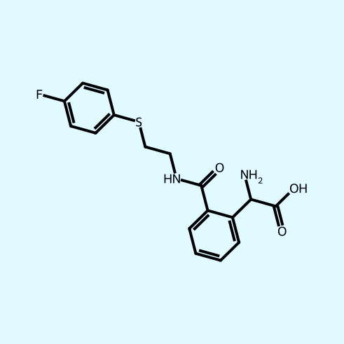 NC(C(=O)O)c1ccccc1C(=O)NCCSc1ccc(F)cc1